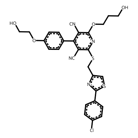 [C-]#[N+]c1c(OCCCO)nc(SCc2csc(-c3ccc(Cl)cc3)n2)c(C#N)c1-c1ccc(OCCO)cc1